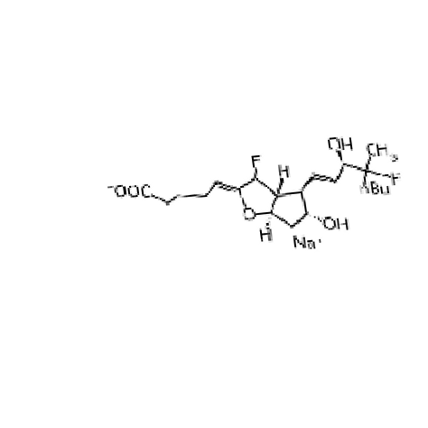 CCCCC(C)(F)[C@H](O)/C=C/[C@@H]1[C@H]2C(F)/C(=C/CCCC(=O)[O-])O[C@@H]2C[C@H]1O.[Na+]